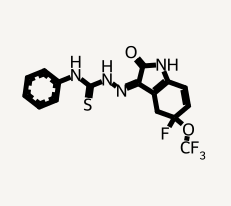 O=C1NC2=C(CC(F)(OC(F)(F)F)C=C2)C1=NNC(=S)Nc1ccccc1